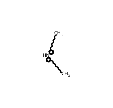 CCCCCCCCCc1cccc(Nc2cccc(CCCCCCCCC)c2)c1